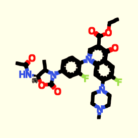 CCOC(=O)c1cn(-c2ccc(N3C(=O)O[C@H](NC(C)=O)C3C)cc2F)c2cc(N3CCN(C)CC3)c(F)cc2c1=O